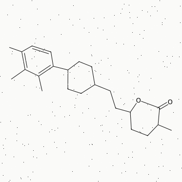 Cc1ccc(C2CCC(CCC3CCC(C)C(=O)O3)CC2)c(C)c1C